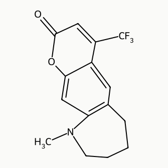 CN1CCCCc2cc3c(C(F)(F)F)cc(=O)oc3cc21